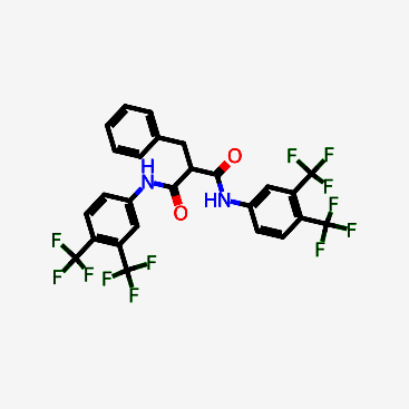 O=C(Nc1ccc(C(F)(F)F)c(C(F)(F)F)c1)C(Cc1ccccc1)C(=O)Nc1ccc(C(F)(F)F)c(C(F)(F)F)c1